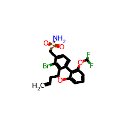 C=CCC1Oc2cccc(OC(F)F)c2-c2ccc(CS(N)(=O)=O)c(Br)c21